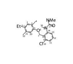 CCc1cc(C)c(OCc2c(Cl)cccc2N(C)C(=O)NC)cc1C